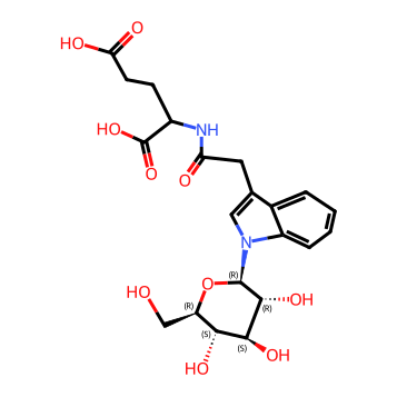 O=C(O)CCC(NC(=O)Cc1cn([C@@H]2O[C@H](CO)[C@@H](O)[C@H](O)[C@H]2O)c2ccccc12)C(=O)O